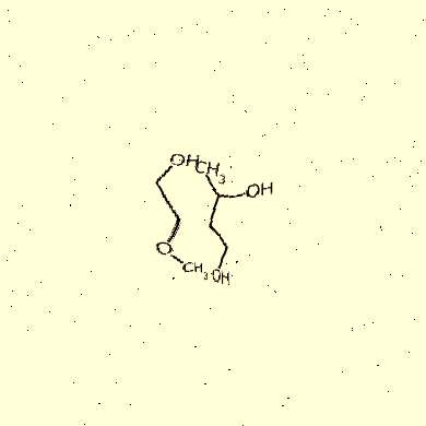 CC(O)CCO.COCCO